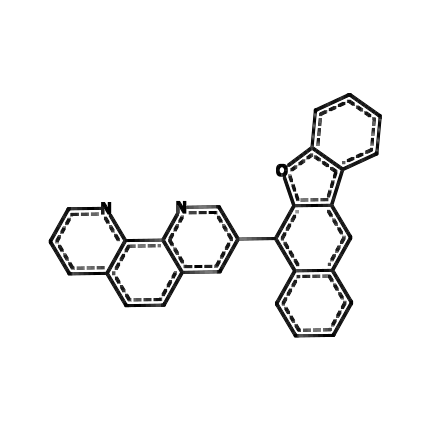 c1ccc2c(-c3cnc4c(ccc5cccnc54)c3)c3oc4ccccc4c3cc2c1